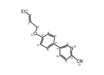 CC/C=C/COc1ccc(-c2ccc(C#N)nc2)cc1